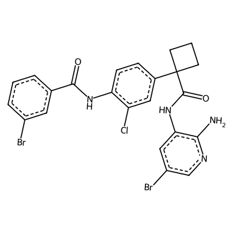 Nc1ncc(Br)cc1NC(=O)C1(c2ccc(NC(=O)c3cccc(Br)c3)c(Cl)c2)CCC1